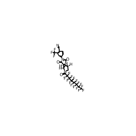 N#Cc1ccc(N2C(=O)[C@@H]3[C@@H]4C[C@@H](CN4C(=O)C(F)(F)C(F)(F)C(F)(F)C(F)(F)C(F)(F)C(F)(F)C(F)(F)F)N3C2=O)cc1C(F)(F)F